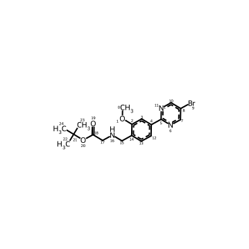 COc1cc(-c2ncc(Br)cn2)ccc1CNCC(=O)OC(C)(C)C